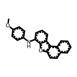 COc1ccc(Nc2cccc3c2oc2ccc4ccccc4c23)cc1